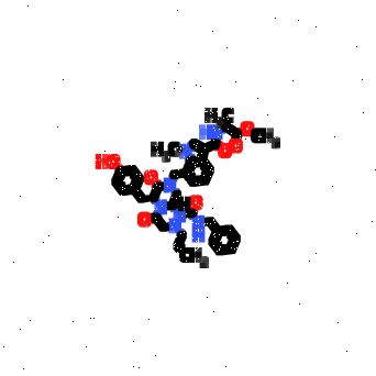 C=CCN1CC(=O)N2[C@@H](Cc3ccc(O)cc3)C(=O)N(Cc3cccc4c(C(=O)N[C@H](C)C(=O)OC)cn(C)c34)C[C@@H]2N1C(=O)NCc1ccccc1